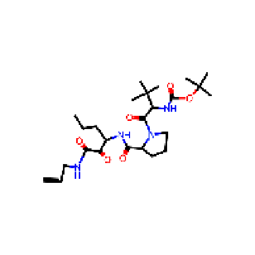 C=CCNC(=O)C(=O)C(CCC)NC(=O)C1CCCN1C(=O)C(NC(=O)OC(C)(C)C)C(C)(C)C